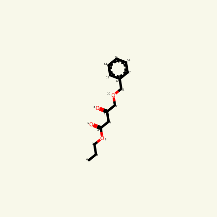 CCCOC(=O)CC(=O)COCc1ccccc1